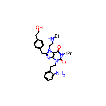 CCCn1c(=O)c2c(nc(Cc3ccc(CCO)cc3)n2CCNCC)n(CCc2ccccc2N)c1=O